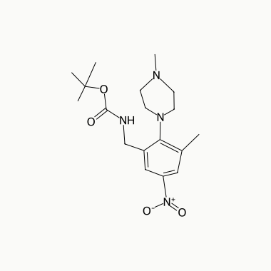 Cc1cc([N+](=O)[O-])cc(CNC(=O)OC(C)(C)C)c1N1CCN(C)CC1